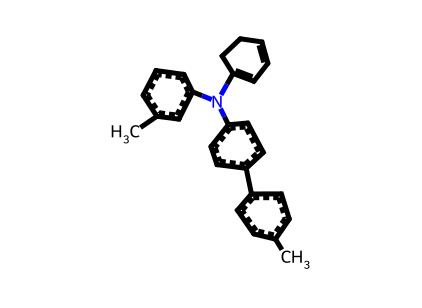 Cc1ccc(-c2ccc(N(C3=CC=CCC3)c3cccc(C)c3)cc2)cc1